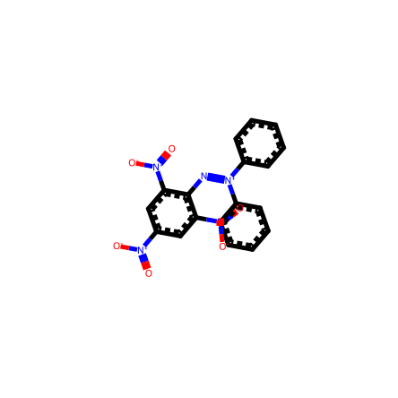 O=[N+]([O-])c1cc([N+](=O)[O-])c(N=[N+](c2ccccc2)c2ccccc2)c([N+](=O)[O-])c1